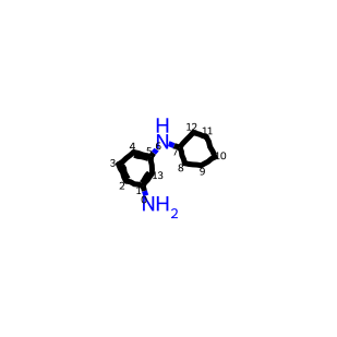 Nc1cccc(NC2CCCCC2)c1